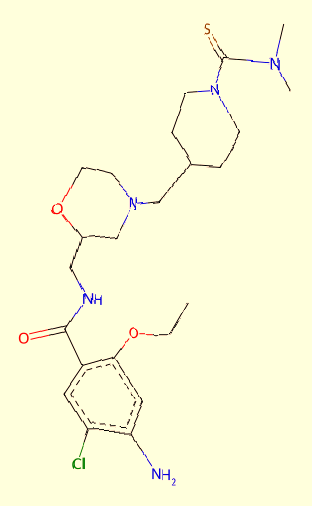 CCOc1cc(N)c(Cl)cc1C(=O)NCC1CN(CC2CCN(C(=S)N(C)C)CC2)CCO1